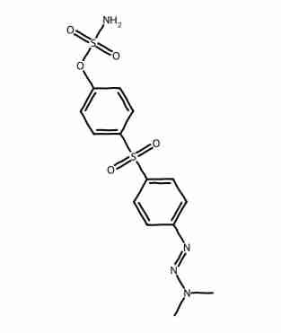 CN(C)N=Nc1ccc(S(=O)(=O)c2ccc(OS(N)(=O)=O)cc2)cc1